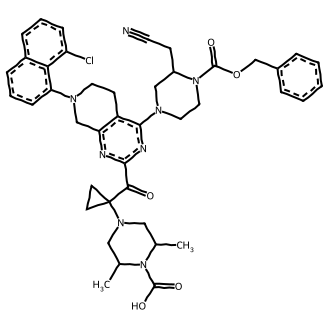 CC1CN(C2(C(=O)c3nc4c(c(N5CCN(C(=O)OCc6ccccc6)C(CC#N)C5)n3)CCN(c3cccc5cccc(Cl)c35)C4)CC2)CC(C)N1C(=O)O